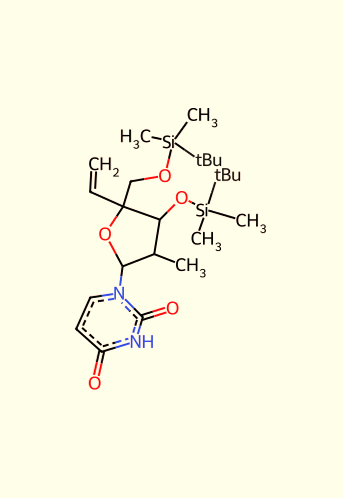 C=CC1(CO[Si](C)(C)C(C)(C)C)OC(n2ccc(=O)[nH]c2=O)C(C)C1O[Si](C)(C)C(C)(C)C